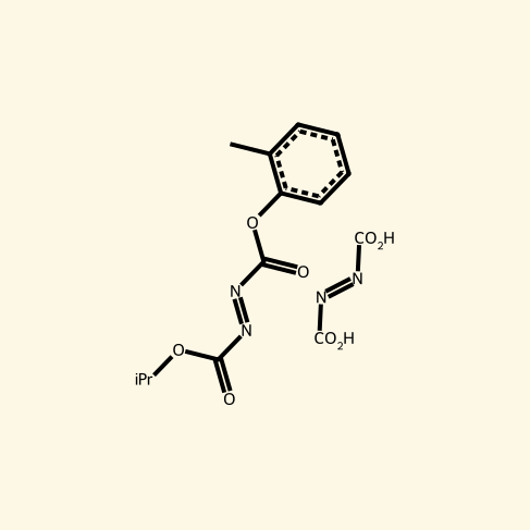 Cc1ccccc1OC(=O)N=NC(=O)OC(C)C.O=C(O)N=NC(=O)O